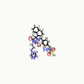 CC1(c2cccc3ccccc23)C(=O)N(CCCn2ccnc2)C(=O)N1Cc1ccc(CNS(C)(=O)=O)cc1